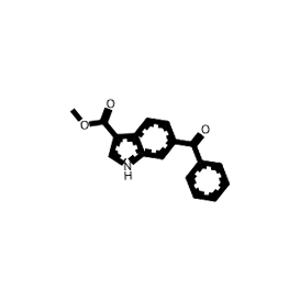 COC(=O)c1c[nH]c2cc(C(=O)c3ccccc3)ccc12